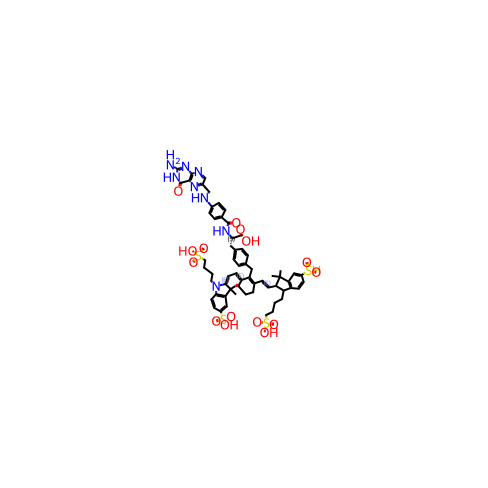 CC1(C)/C(=C\C=C2/CCCC(/C=C/C3C(CCCCS(=O)(=O)O)c4ccc([SH](=O)=O)cc4C3(C)C)=C2Cc2ccc(C[C@H](NC(=O)c3ccc(NCc4cnc5nc(N)[nH]c(=O)c5n4)cc3)C(=O)O)cc2)N(CCCCS(=O)(=O)O)c2ccc(S(=O)(=O)O)cc21